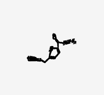 CC(C)(C)Cc1ccc(C(N)=O)s1